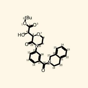 CC(C)(C)OC(=O)[C@H](O)[C@H]1OCCN(c2cccc(C(=O)N3CCc4ccccc4C3)c2)C1=O